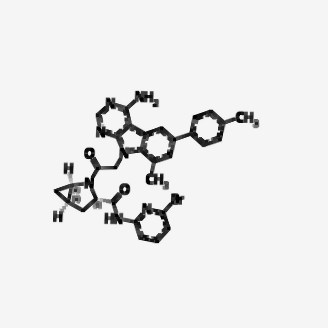 Cc1ccc(-c2cc(C)c3c(c2)c2c(N)ncnc2n3CC(=O)N2[C@@H]3C[C@@H]3C[C@H]2C(=O)Nc2cccc(Br)n2)cc1